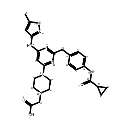 Cc1cc(Nc2cc(N3CCN(CC(=O)O)CC3)nc(Cc3ccc(NC(=O)C4CC4)cc3)n2)n[nH]1